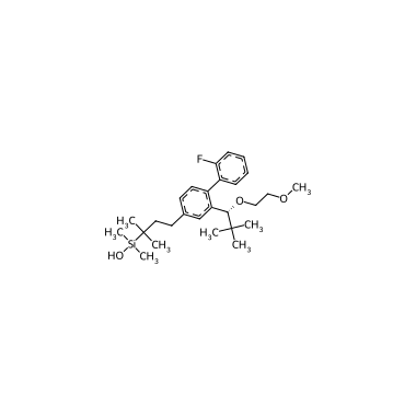 COCCO[C@@H](c1cc(CCC(C)(C)[Si](C)(C)O)ccc1-c1ccccc1F)C(C)(C)C